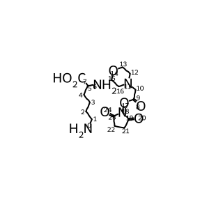 NCCCCC(N)C(=O)O.O=C(CN1CCOCC1)ON1C(=O)CCC1=O